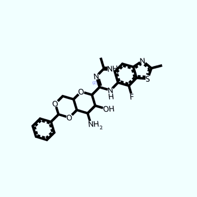 CC(=N)/N=C(\Nc1ccc2nc(C)sc2c1F)C1OC2COC(c3ccccc3)OC2C(N)C1O